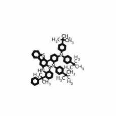 CC(C)(C)c1ccc(N2B3c4cccc(C(C)(C)c5ccccc5)c4Nc4cc5c(sc6ccccc65)c(c43)-c3ccc(N(c4ccc(C(C)(C)C)cc4)c4ccc(C(C)(C)C)cc4)cc32)cc1